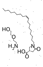 CCCCCCCC/C=C\CCCCCCCCN1CC(C(=O)O)CC1=O.NCCOCCO